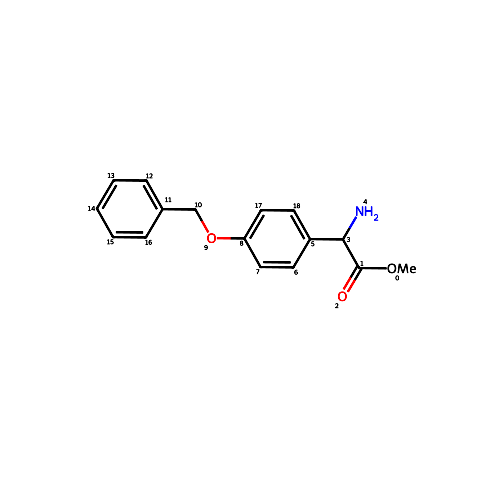 COC(=O)C(N)c1ccc(OCc2ccccc2)cc1